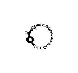 O=C1c2ccc(cc2)OCCCCCCCCCCCCOc2ccc1cc2